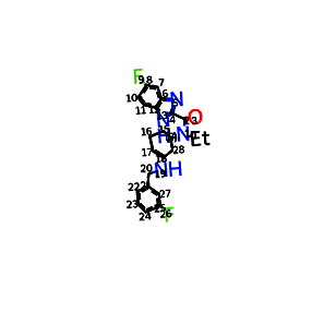 CCN(C(=O)c1nc2cc(F)ccc2[nH]1)[C@H]1CCC=C(NCc2cccc(F)c2)C1